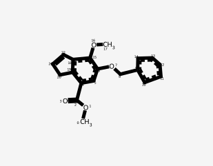 COC(=O)c1cc(OCc2ccccc2)c(OC)c2c1CC=C2